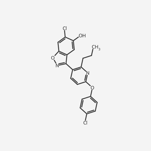 CCCc1nc(Oc2ccc(Cl)cc2)ccc1-c1noc2cc(Cl)c(O)cc12